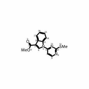 COC(=O)c1cn(-c2ccnc(SC)n2)c2ccccc12